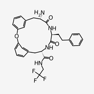 N[C@H]1Cc2cccc(c2)Oc2cccc(c2)C[C@@H](C(=O)NCC(F)(F)F)NC(=O)[C@H](CCc2ccccc2)NC1=O